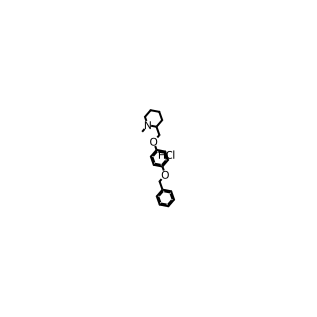 CN1CCCCC1COc1ccc(OCc2ccccc2)cc1.Cl